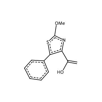 C=C(O)c1nc(OC)sc1-c1ccccc1